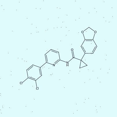 O=C(Nc1cccc(-c2ccc(Cl)c(Cl)c2)n1)C1(c2ccc3c(c2)OCO3)CC1